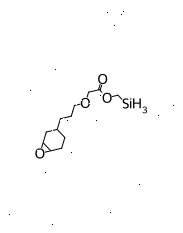 O=C(COCCCC1CCC2OC2C1)OC[SiH3]